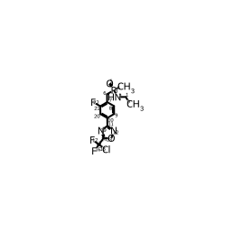 CCNP(C)(=O)Cc1ccc(-c2noc(C(F)(F)Cl)n2)cc1F